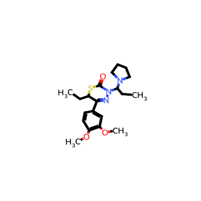 CCC1SC(=O)N(C(CC)N2CCCC2)N=C1c1ccc(OC)c(OC)c1